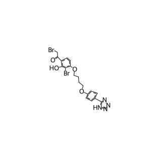 O=C(CBr)c1ccc(OCCCCOc2ccc(-c3nnn[nH]3)cc2)c(Br)c1O